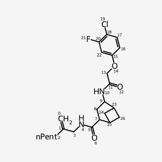 C=C(CCCCC)CNC(=O)C1CC(NC(=O)COc2ccc(Cl)c(F)c2)C2CC1C2